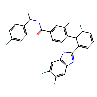 CCCC(NC(=O)c1ccc(C2C(c3nc4cc(F)c(Cl)cc4[nH]3)=CC=C[C@@H]2Cl)c(C(=O)O)c1)c1ccc(Cl)cc1